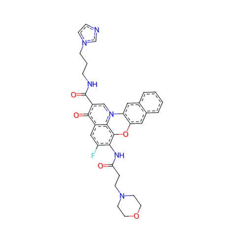 O=C(CCN1CCOCC1)Nc1c(F)cc2c(=O)c(C(=O)NCCCn3ccnc3)cn3c2c1Oc1cc2ccccc2cc1-3